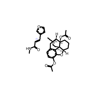 CC(=O)Oc1ccc2c3c1O[C@H]1CCC[C@@]4(OC(C)=O)[C@@H](C2)N(C)CC[C@]314.CNC(=O)/C=C/c1ccoc1